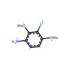 COc1ccc(N)c(OC)c1Cl